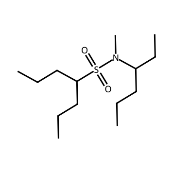 CCCC(CC)N(C)S(=O)(=O)C(CCC)CCC